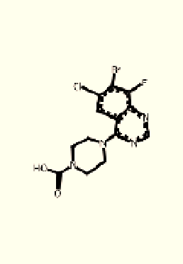 O=C(O)N1CCN(c2ncnc3c(F)c(Br)c(Cl)cc23)CC1